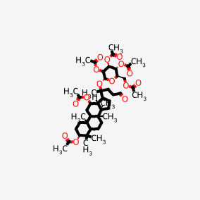 CC(=O)OC[C@H]1O[C@H](OC(C)(CCC=O)C2CC[C@]3(C)[C@@H]2C(OC(C)=O)CC2[C@@]4(C)CC[C@H](OC(C)=O)C(C)(C)C4CC[C@]23C)C(OC(C)=O)[C@@H](OC(C)=O)[C@@H]1OC(C)=O